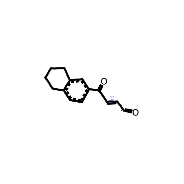 O=[C]/C=C/C(=O)c1ccc2c(c1)CCCC2